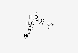 O.O.O.[Co].[Fe].[Ni]